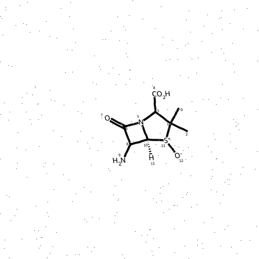 CC1(C)C(C(=O)O)N2C(=O)C(N)[C@@H]2[S+]1[O-]